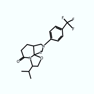 CC(C)C1COC23CCN(c4ccc(C(F)(F)F)cc4)CC2CCC(=O)N13